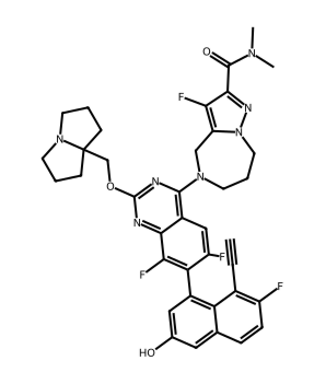 C#Cc1c(F)ccc2cc(O)cc(-c3c(F)cc4c(N5CCCn6nc(C(=O)N(C)C)c(F)c6C5)nc(OCC56CCCN5CCC6)nc4c3F)c12